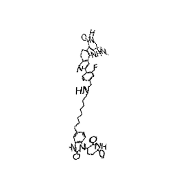 CN1CC2(CNC(=O)c3c2[nH]c2c3CCc3cnc(-c4ccc(CNCCCCCCCCc5ccc6c(c5)n(C)c(=O)n6C5CCC(=O)NC5=O)cc4F)cc3-2)C1